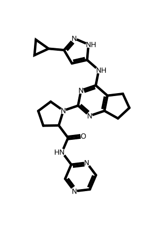 O=C(Nc1cnccn1)C1CCCN1c1nc2c(c(Nc3cc(C4CC4)n[nH]3)n1)CCC2